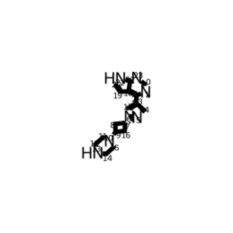 c1nc(-c2cnn([C]3CC(N4CCNCC4)C3)c2)c2cc[nH]c2n1